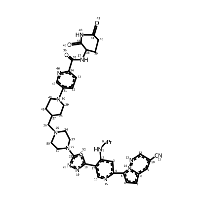 CC(C)Nc1cc(-c2ccc3cc(C#N)cnn23)ncc1-c1nnc(N2CCN(CC3CCN(c4ccc(C(=O)NC5CCC(=O)NC5=O)nc4)CC3)CC2)s1